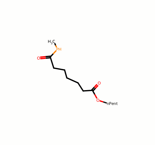 CCCCCOC(=O)CCCCCC(=O)PC